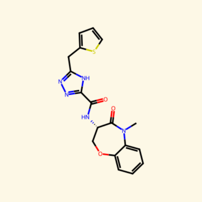 CN1C(=O)[C@@H](NC(=O)c2nnc(Cc3cccs3)[nH]2)COc2ccccc21